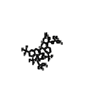 CC[C@@H]1C[C@H](N(Cc2cc(C(F)(F)F)cc(C(F)(F)F)c2)c2nnn(CC(C)C)n2)c2cc(C(F)(F)F)ccc2N1C(=O)OC(C)C